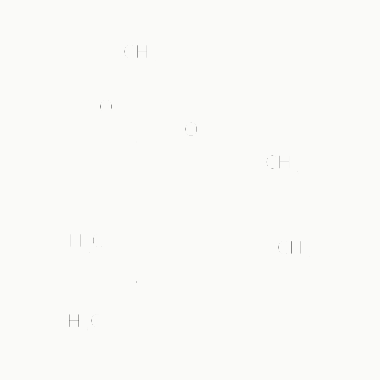 CCC1=C(C)CCC(C)(C)C1CC(=O)OC